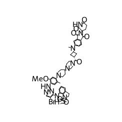 COc1cc(N2CCC(N3CCN(C(=O)[C@H]4C[C@H](N(C)c5ccc6c(c5)C(=O)N(C5CCC(=O)NC5=O)C6=O)C4)CC3)CC2)c(C)cc1Nc1ncc(Br)c(Nc2cccc3c2N(S(C)(=O)=O)CC3)n1